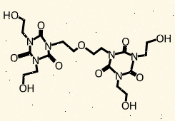 O=c1n(CCO)c(=O)n(CCOCCn2c(=O)n(CCO)c(=O)n(CCO)c2=O)c(=O)n1CCO